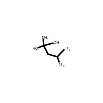 CC(O)(O)CC(C(F)(F)F)C(F)(F)F